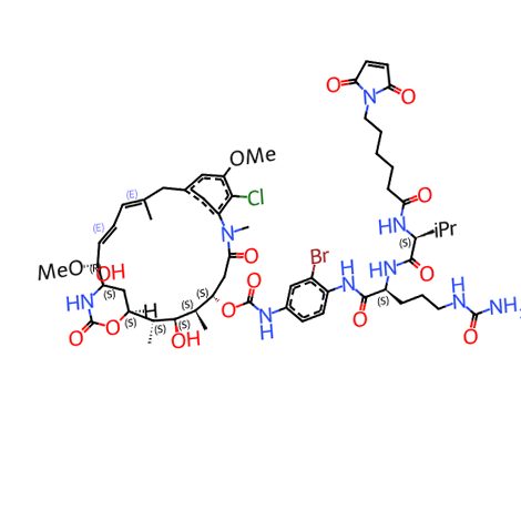 COc1cc2cc(c1Cl)N(C)C(=O)C[C@H](OC(=O)Nc1ccc(NC(=O)[C@H](CCCNC(N)=O)NC(=O)[C@@H](NC(=O)CCCCCN3C(=O)C=CC3=O)C(C)C)c(Br)c1)[C@@H](C)[C@@H](O)[C@H](C)[C@@H]1C[C@@](O)(NC(=O)O1)[C@H](OC)/C=C/C=C(\C)C2